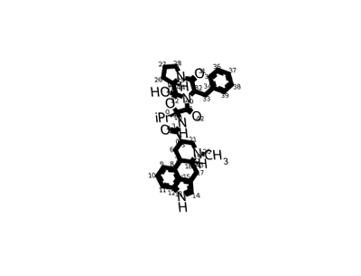 CC(C)[C@@]1(NC(=O)[C@@H]2CC3c4cccc5[nH]cc(c45)C[C@H]3N(C)C2)OC2(O)[C@@H]3CCCN3C(=O)C(Cc3ccccc3)N2C1=O